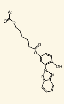 CC(=O)C(=O)OCCCCCC(=O)Oc1ccc(O)c(-n2nc3ccccc3n2)c1